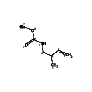 C=CC(C)CNC(=O)OC(C)(C)C